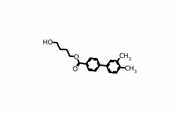 Cc1ccc(-c2ccc(C(=O)OCCCCO)cc2)cc1C